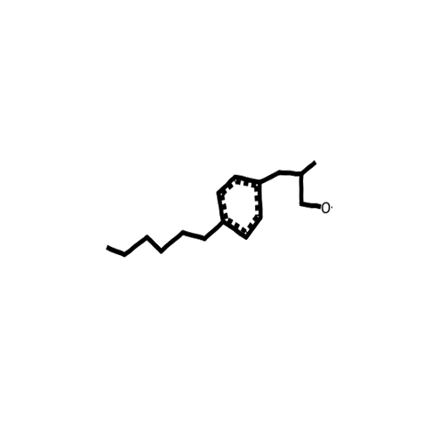 CCCCCCc1ccc(CC(C)C[O])cc1